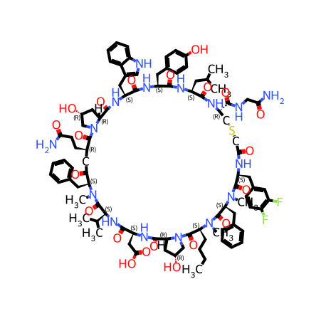 CCCC[C@H]1C(=O)N2C[C@H](O)C[C@@H]2C(=O)N[C@@H](CC(=O)O)C(=O)N[C@@H](C(C)C)C(=O)N(C)[C@@H](Cc2ccccc2)C(=O)C[C@@H](CCC(N)=O)C(=O)N2C[C@H](O)C[C@@H]2C(=O)N[C@@H](Cc2c[nH]c3ccccc23)C(=O)N[C@@H](Cc2ccc(O)cc2)C(=O)N[C@@H](CC(C)C)C(=O)N[C@H](C(=O)NCC(N)=O)CSCC(=O)N[C@@H](Cc2ccc(F)c(F)c2)C(=O)N(C)[C@@H](Cc2ccccc2)C(=O)N1C